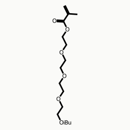 C=C(C)C(=O)OCCOCCOCCOCCOCC(C)C